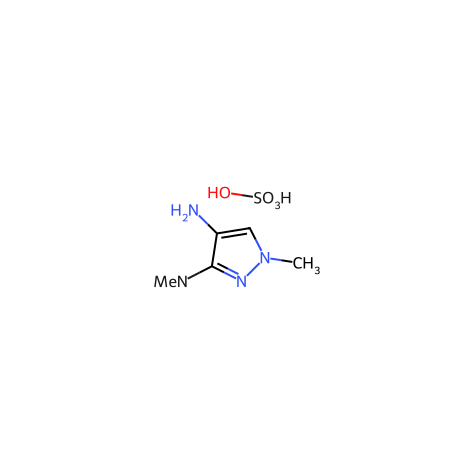 CNc1nn(C)cc1N.O=S(=O)(O)O